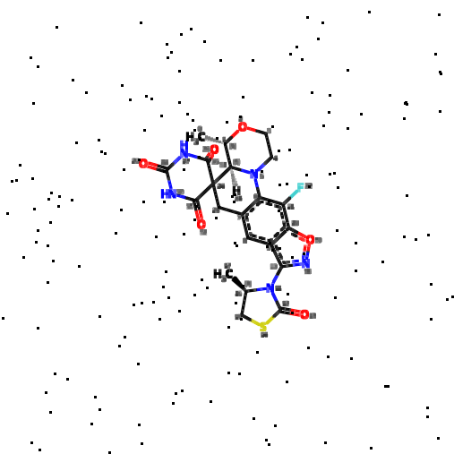 C[C@@H]1OCCN2c3c(cc4c(N5C(=O)SC[C@H]5C)noc4c3F)CC3(C(=O)NC(=O)NC3=O)[C@@H]12